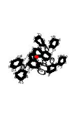 c1ccc(-c2ccc3c4c2Oc2cc(N(c5ccccc5)c5ccccc5)c5ccccc5c2B4c2c(cc(N(c4ccccc4)c4ccccc4)c4ccccc24)O3)cc1